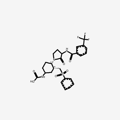 O=C(O)NC1CC[C@H](N2CCC(NC(=O)c3cccc(C(F)(F)F)c3)C2=O)[C@H](CS(=O)(=O)c2ccccc2)C1